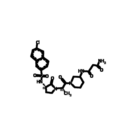 C[C@@H](C(=O)N1CCCC(NC(=O)CC(N)=O)C1)N1CC[C@H](NS(=O)(=O)c2ccc3cc(Cl)ccc3c2)C1=O